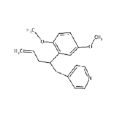 C=CCC(Cc1ccncc1)c1cc(OC)ccc1OC